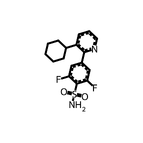 NS(=O)(=O)c1c(F)cc(-c2ncccc2C2CCCCC2)cc1F